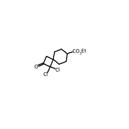 CCOC(=O)C1CCC2(CC1)CC(=O)C2(Cl)Cl